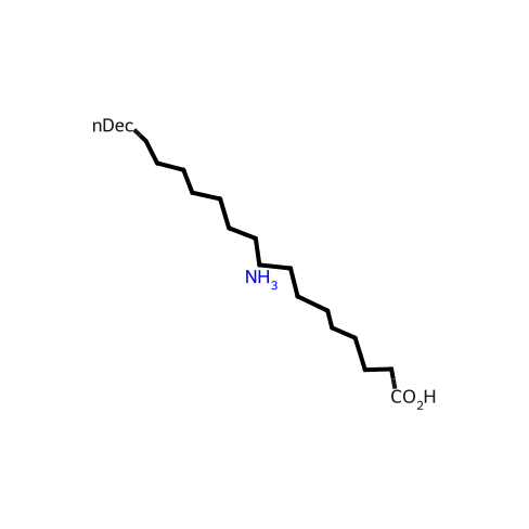 CCCCCCCCCCCCCCCCCCCCCCCCCC(=O)O.N